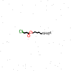 CCCCCCCCCCCCOC(=O)CCCl